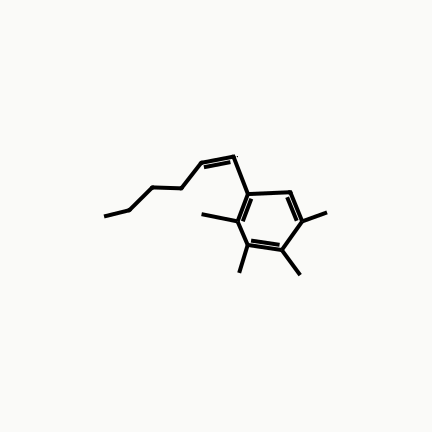 CCCC/C=[C]\c1cc(C)c(C)c(C)c1C